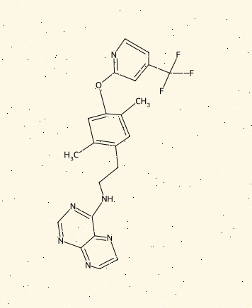 Cc1cc(Oc2cc(C(F)(F)F)ccn2)c(C)cc1CCNc1ncnc2nccnc12